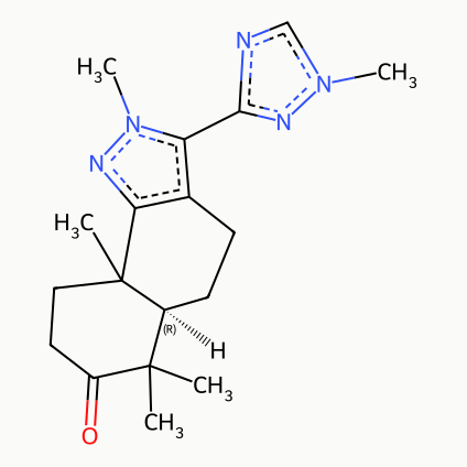 Cn1cnc(-c2c3c(nn2C)C2(C)CCC(=O)C(C)(C)[C@@H]2CC3)n1